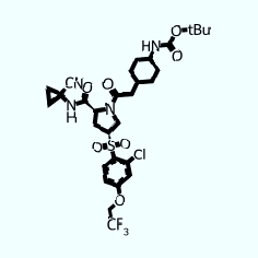 CC(C)(C)OC(=O)NC1CCC(CC(=O)N2C[C@H](S(=O)(=O)c3ccc(OCC(F)(F)F)cc3Cl)C[C@H]2C(=O)NC2(C#N)CC2)CC1